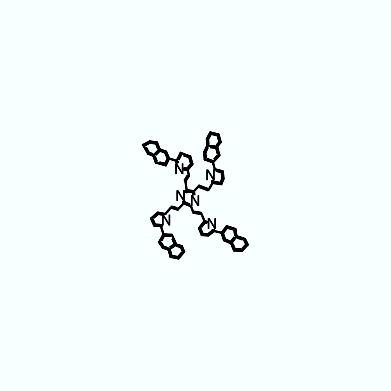 C(=Cc1nc(C=Cc2cccc(-c3ccc4ccccc4c3)n2)c(C=Cc2cccc(-c3ccc4ccccc4c3)n2)nc1C=Cc1cccc(-c2ccc3ccccc3c2)n1)c1cccc(-c2ccc3ccccc3c2)n1